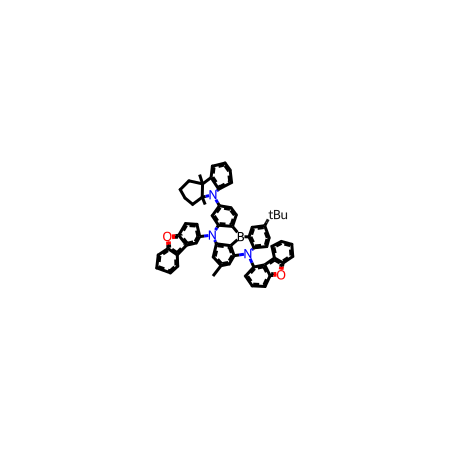 Cc1cc2c3c(c1)N(c1cccc4oc5ccccc5c14)c1ccc(C(C)(C)C)cc1B3c1ccc(N3c4ccccc4C4(C)CCCCC34C)cc1N2c1ccc2oc3ccccc3c2c1